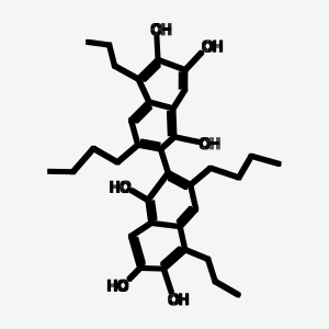 CCCCc1cc2c(CCC)c(O)c(O)cc2c(O)c1-c1c(CCCC)cc2c(CCC)c(O)c(O)cc2c1O